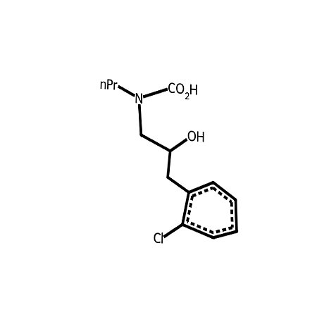 CCCN(CC(O)Cc1ccccc1Cl)C(=O)O